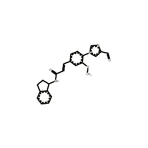 COc1cc(/C=C/C(=O)NC2CCc3ccccc32)ccc1-n1cnc(C=O)c1